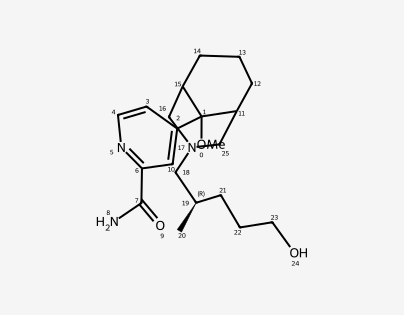 COC1(c2ccnc(C(N)=O)c2)C2CCCC1CN(C[C@H](C)CCCO)C2